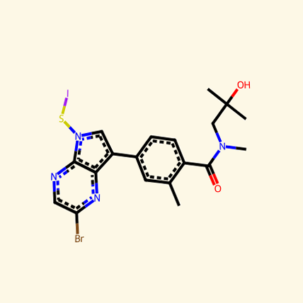 Cc1cc(-c2cn(SI)c3ncc(Br)nc23)ccc1C(=O)N(C)CC(C)(C)O